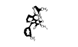 CC1=CSC(C2=CCCn3c(-c4cccc(C)c4)c4c(=O)n(C)c(=O)n(C)c4c32)N1